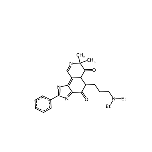 CCN(CC)CCCC1C(=O)C2=NC(c3ccccc3)=NC2=C2C=NC(C)(C)C(=O)C21